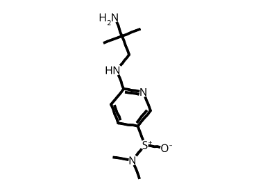 CN(C)[S+]([O-])c1ccc(NCC(C)(C)N)nc1